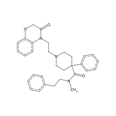 CN(CCc1ccccc1)C(=O)C1(c2ccccc2)CCN(CCN2C(=O)COc3ccccc32)CC1